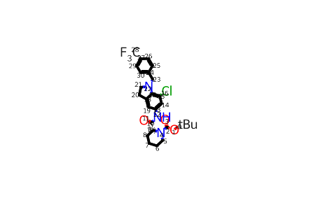 CC(C)(C)OC(=O)N1CCCC[C@@H]1C(=O)Nc1cc(Cl)c2c(c1)CCN2Cc1ccc(C(F)(F)F)cc1